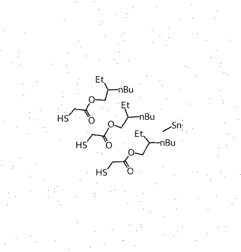 CCCCC(CC)COC(=O)CS.CCCCC(CC)COC(=O)CS.CCCCC(CC)COC(=O)CS.[CH3][Sn]